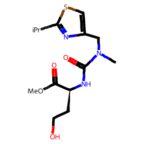 COC(=O)[C@H](CCO)NC(=O)N(C)Cc1csc(C(C)C)n1